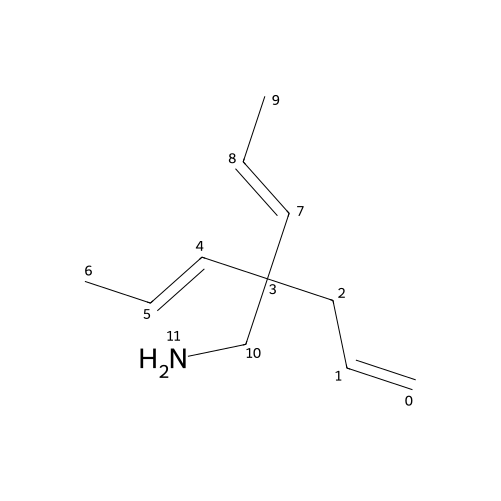 C=CCC(C=CC)(C=CC)CN